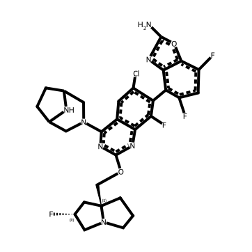 Nc1nc2c(-c3c(Cl)cc4c(N5CC6CCC(C5)N6)nc(OC[C@@]56CCCN5C[C@H](F)C6)nc4c3F)c(F)cc(F)c2o1